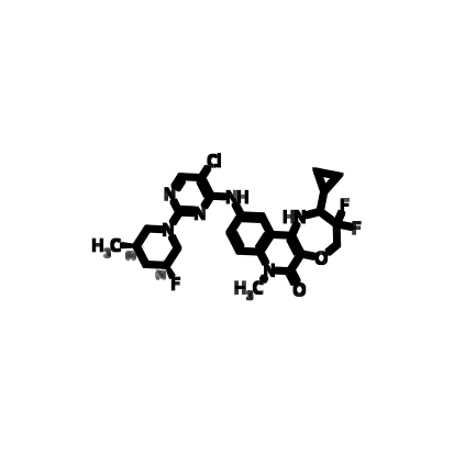 C[C@@H]1C[C@H](F)CN(c2ncc(Cl)c(Nc3ccc4c(c3)c3c(c(=O)n4C)OCC(F)(F)C(C4CC4)N3)n2)C1